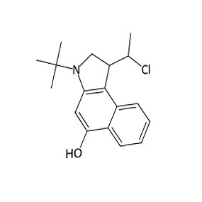 CC(Cl)C1CN(C(C)(C)C)c2cc(O)c3ccccc3c21